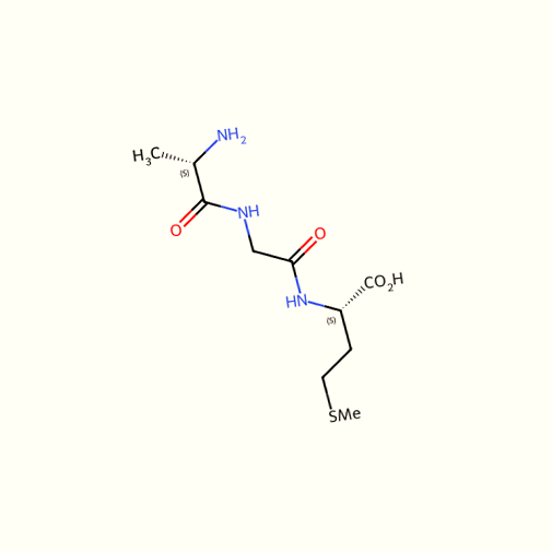 CSCC[C@H](NC(=O)CNC(=O)[C@H](C)N)C(=O)O